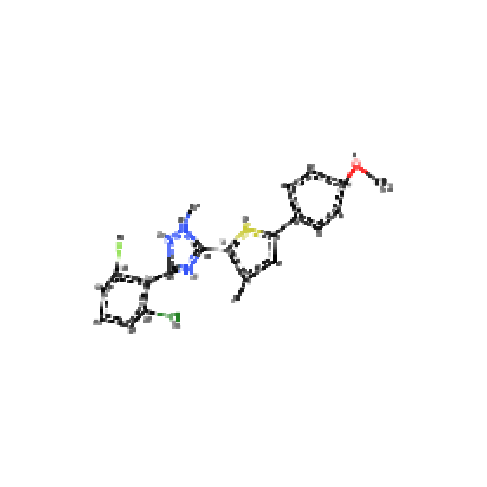 Cc1cc(-c2ccc(OC(F)(F)F)cc2)sc1-c1nc(-c2c(F)cccc2Cl)nn1C